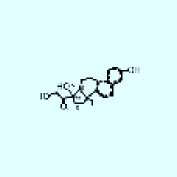 C[C@H]1C[C@H]2c3ccc4cc(O)ccc4c3CC[C@]2(C)[C@@]1(O)C(=O)CO